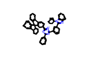 c1ccc(-c2nc(-c3cccc(-c4nc5ccccc5n4-c4ccccc4)c3)nc(-c3ccc4c(c3)C3(c5ccccc5-c5ccccc53)c3ccccc3-4)n2)cc1